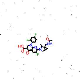 CC(=O)NCC12CC1CN(c1nc3c(cc1F)c(=O)c(C(=O)O)cn3-c1ccc(F)cc1F)C2C